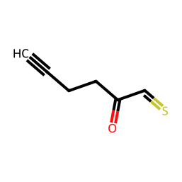 C#CCCC(=O)C=S